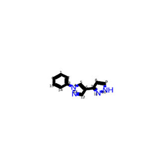 c1ccc(-n2cc(-c3cc[nH]n3)cn2)cc1